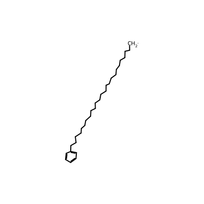 [CH2]CCCCCCCCCCCCCCCCCCCCCCCCc1ccccc1